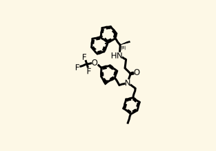 Cc1ccc(CN(Cc2ccc(OC(F)(F)F)cc2)C(=O)CCN[C@H](C)c2cccc3ccccc23)cc1